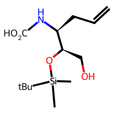 C=CC[C@H](NC(=O)O)[C@@H](CO)O[Si](C)(C)C(C)(C)C